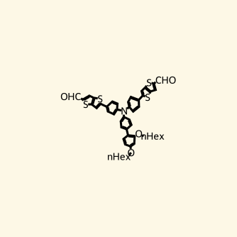 CCCCCCOc1ccc(-c2ccc(N(c3ccc(-c4cc5sc(C=O)cc5s4)cc3)c3ccc(-c4cc5sc(C=O)cc5s4)cc3)cc2)c(OCCCCCC)c1